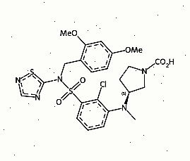 COc1ccc(CN(c2ncns2)S(=O)(=O)c2cccc(N(C)[C@H]3CCN(C(=O)O)C3)c2Cl)c(OC)c1